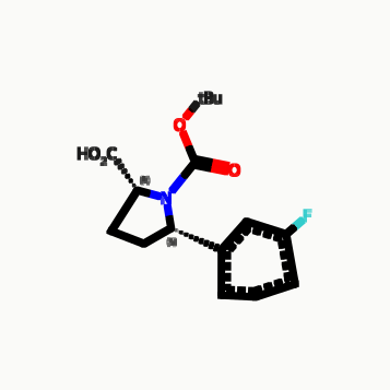 CC(C)(C)OC(=O)N1[C@@H](C(=O)O)CC[C@H]1c1cccc(F)c1